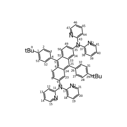 CC(C)(C)c1ccc(-c2c3ccc(N(c4ccccn4)c4ccccn4)cc3c(-c3ccc(C(C)(C)C)cc3)c3cc(N(c4ccccn4)c4ccccn4)ccc23)cc1